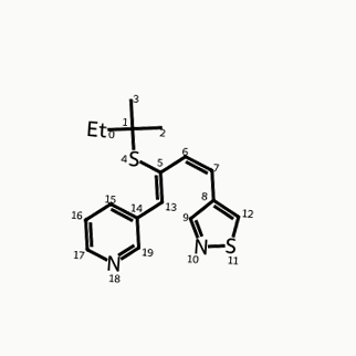 CCC(C)(C)SC(/C=C\c1cnsc1)=C\c1cccnc1